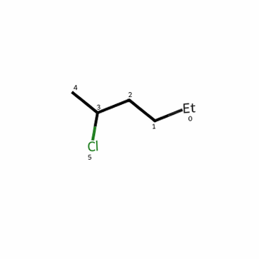 [CH2]CCCC(C)Cl